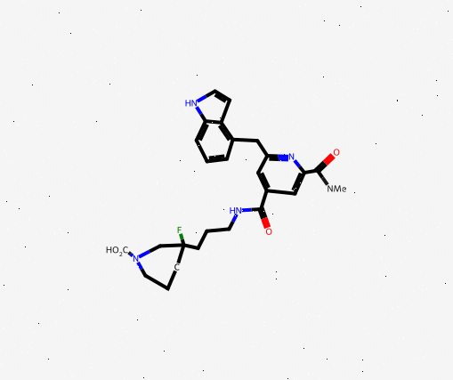 CNC(=O)c1cc(C(=O)NCCCC2(F)CCCN(C(=O)O)C2)cc(Cc2cccc3[nH]ccc23)n1